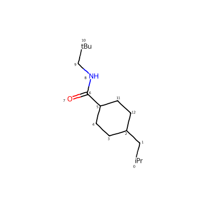 CC(C)CC1CCC(C(=O)NCC(C)(C)C)CC1